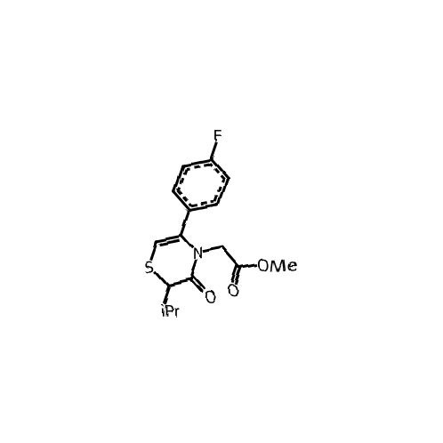 COC(=O)CN1C(=O)C(C(C)C)SC=C1c1ccc(F)cc1